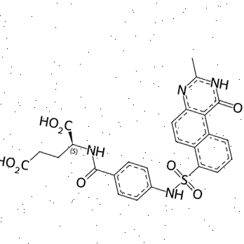 Cc1nc2ccc3c(S(=O)(=O)Nc4ccc(C(=O)N[C@@H](CCC(=O)O)C(=O)O)cc4)cccc3c2c(=O)[nH]1